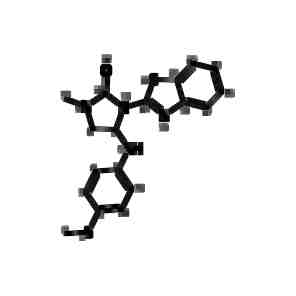 CSc1ccc(NC2CN(C)C(=O)N2c2nc3ccccc3s2)cc1